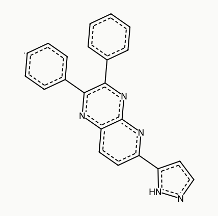 [c]1ccc(-c2nc3ccc(-c4ccn[nH]4)nc3nc2-c2ccccc2)cc1